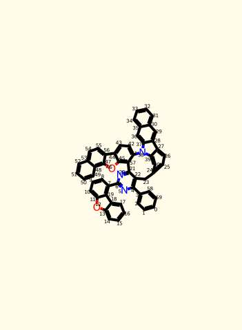 c1ccc(-c2nc(-c3cccc4oc5ccccc5c34)nc3c2Cc2ccc4c5cc6ccccc6cc5n(c4c2)-c2ccc4c(oc5c6ccccc6ccc45)c2-3)cc1